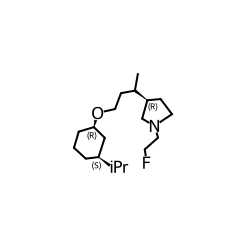 CC(C)[C@H]1CCC[C@@H](OCCC(C)[C@H]2CCN(CCF)C2)C1